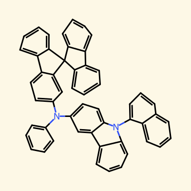 c1ccc(N(c2ccc3c(c2)C2(c4ccccc4-c4ccccc42)c2ccccc2-3)c2ccc3c(c2)c2ccccc2n3-c2cccc3ccccc23)cc1